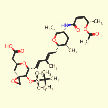 CC(=O)O[C@@H](C)/C=C\C(=O)N[C@@H]1C[C@H](C)[C@H](C/C=C(C)/C=C/[C@H]2O[C@H](CC(=O)O)C[C@@]3(CO3)[C@@H]2O[Si](C)(C)C(C)(C)C)O[C@@H]1C